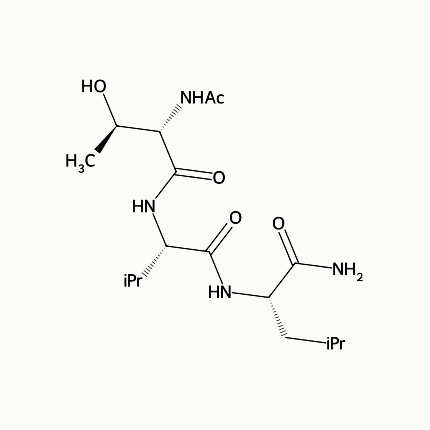 CC(=O)N[C@H](C(=O)N[C@H](C(=O)N[C@@H](CC(C)C)C(N)=O)C(C)C)[C@@H](C)O